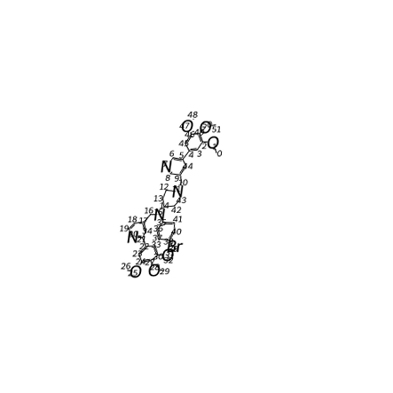 COc1cc(-c2cncc(CN3CCC(N(Cc4ccnc(-c5cc(OC)c(OC)c(OC)c5)c4)c4ccc(Br)cc4)CC3)c2)cc(OC)c1OC